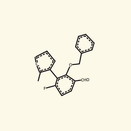 Cc1ccccc1-c1c(F)ccc(C=O)c1OCc1ccccc1